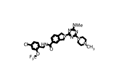 CNc1nc(N2CCN(C)CC2)nc(N2Cc3ccc(C(=O)NCc4ccc(Cl)cc4OC(F)(F)F)cc3C2)n1